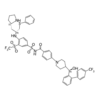 O=C(NS(=O)(=O)c1ccc(N[C@@H](CSc2ccccc2)C[C@@H]2CCCN2)c(S(=O)(=O)C(F)(F)F)c1)c1ccc(N2CCC([C@@H](O)c3ccccc3-c3ccc(C(F)(F)F)cc3)CC2)cc1